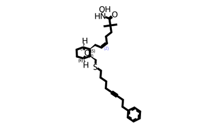 CC(C)(CC/C=C\C[C@H]1[C@@H](CSCCCCC#CCCc2ccccc2)[C@H]2CC[C@@H]1O2)C(=O)NO